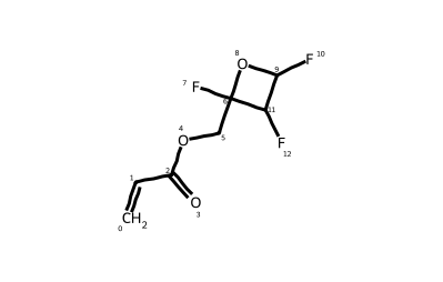 C=CC(=O)OCC1(F)OC(F)C1F